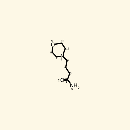 NC(=O)[CH]CCN1CCOCC1